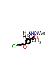 CON(C)C(=O)C(C)(C)c1ccc(C(=O)CCCCl)cc1